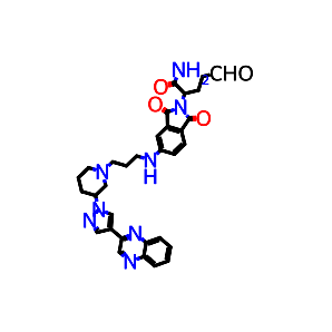 NC(=O)C(CCC=O)N1C(=O)c2ccc(NCCCN3CCCC(n4cc(-c5cnc6ccccc6n5)cn4)C3)cc2C1=O